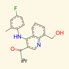 Cc1cc(F)ccc1Nc1c(C(=O)C(C)C)cnc2c(CO)cccc12